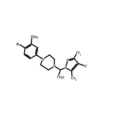 COc1cc(N2CCN(C(C=O)n3nc(C(F)(F)F)c(Cl)c3C)CC2)ccc1Br